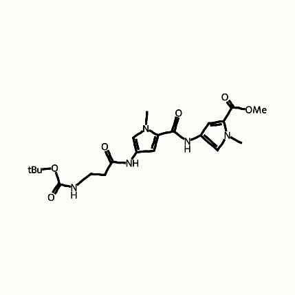 COC(=O)c1cc(NC(=O)c2cc(NC(=O)CCNC(=O)OC(C)(C)C)cn2C)cn1C